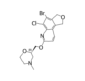 CN1CCO[C@@H](COc2ccc3c4c(c(Br)c(Cl)c3n2)COC4)C1